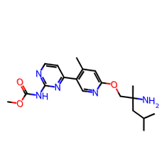 COC(=O)Nc1nccc(-c2cnc(OCC(C)(N)CC(C)C)cc2C)n1